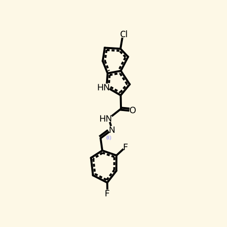 O=C(N/N=C/c1ccc(F)cc1F)c1cc2cc(Cl)ccc2[nH]1